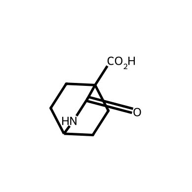 O=C(O)C12CCC(CC1)NC2=O